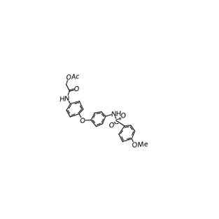 COc1ccc(S(=O)(=O)Nc2ccc(Oc3ccc(NC(=O)COC(C)=O)cc3)cc2)cc1